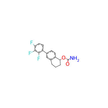 NC(=O)OC1CCCc2cc(-c3ccc(F)c(F)c3F)ccc21